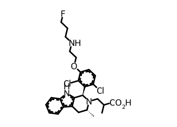 CC(CN1[C@H](c2c(Cl)ccc(OCCNCCCF)c2Cl)c2[nH]c3ccccc3c2C[C@H]1C)C(=O)O